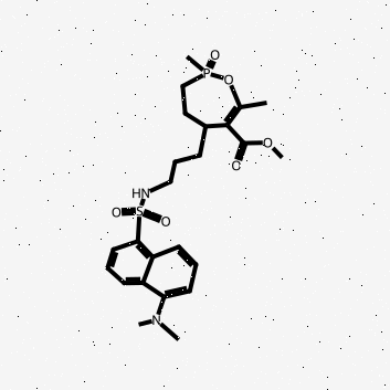 COC(=O)C1=C(C)OP(C)(=O)CCC1CCCNS(=O)(=O)c1cccc2c(N(C)C)cccc12